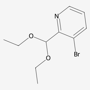 CCOC(OCC)c1ncccc1Br